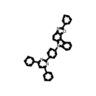 c1ccc(-c2cc(-c3ccccc3)nc(-c3ccc(-n4c5ccccc5c5c6oc(-c7ccccc7)nc6ccc54)cc3)n2)cc1